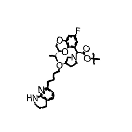 CC(C)[C@@H]1COc2cc(F)cc(C(C(=O)OC(C)(C)C)N3CC[C@@H](OCCCCc4ccc5c(n4)NCCC5)C3)c2O1